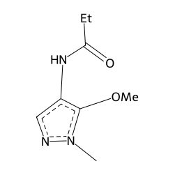 CCC(=O)Nc1cnn(C)c1OC